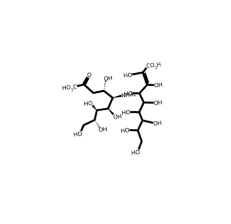 CC(=O)N[C@@H]([C@@H](O)[C@H](O)[C@H](O)CO)[C@@H](O)CC(=O)C(=O)O.O=C(O)/C(O)=C(\O)C(O)C(O)C(O)C(O)C(O)CO